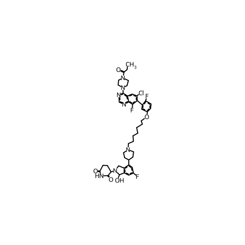 CCC(=O)N1CCN(c2ncnc3c(F)c(-c4cc(OCCCCCCCN5CCC(c6cc(F)cc7c6CN(C6CCC(=O)NC6=O)C7O)CC5)ccc4F)c(Cl)cc23)CC1